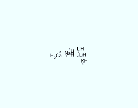 [CaH2].[KH].[LiH].[LiH].[LiH].[NaH]